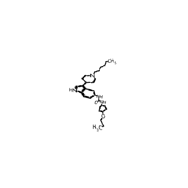 CCCCCCN1C=CC(c2c[nH]c3ccc(NC(=O)Nc4ccc(OCCC)cc4)cc23)CC1